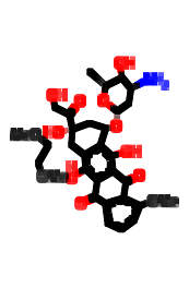 COCCOC.COc1cccc2c1C(=O)c1c(O)c3c(c(O)c1C2=O)C[C@@](O)(C(=O)CO)C[C@@H]3O[C@H]1C[C@H](N)[C@H](O)[C@H](C)O1